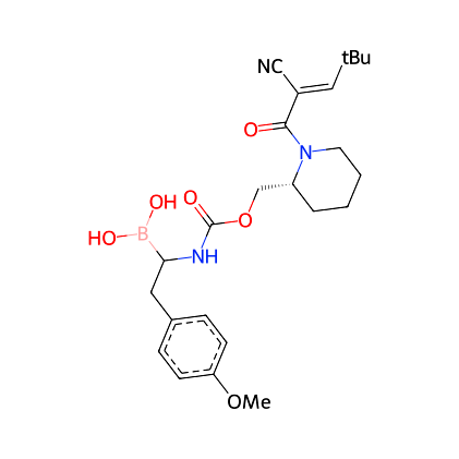 COc1ccc(CC(NC(=O)OC[C@H]2CCCCN2C(=O)C(C#N)=CC(C)(C)C)B(O)O)cc1